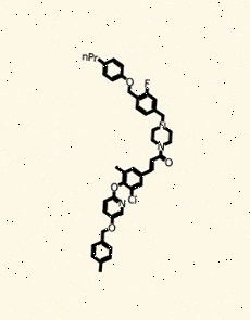 CCCc1ccc(OCc2ccc(CN3CCN(C(=O)C=Cc4cc(C)c(Oc5ccc(OCc6ccc(C)cc6)cn5)c(Cl)c4)CC3)cc2F)cc1